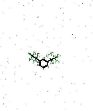 FC(F)(F)C(F)(F)c1[c]ccc(C(F)(F)C(F)(F)F)c1